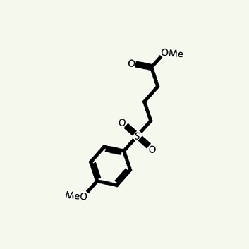 COC(=O)CCCS(=O)(=O)c1ccc(OC)cc1